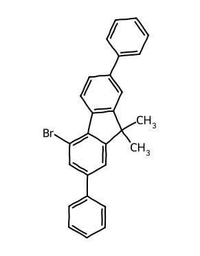 CC1(C)c2cc(-c3ccccc3)ccc2-c2c(Br)cc(-c3ccccc3)cc21